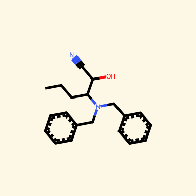 CCCC(C(O)C#N)N(Cc1ccccc1)Cc1ccccc1